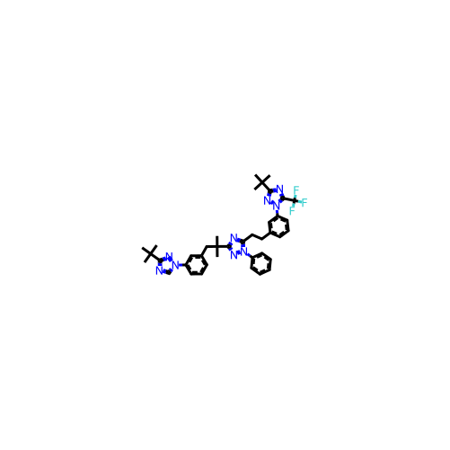 CC(C)(C)c1ncn(-c2cccc(CC(C)(C)c3nc(CCc4cccc(-n5nc(C(C)(C)C)nc5C(F)(F)F)c4)n(-c4ccccc4)n3)c2)n1